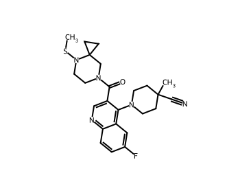 CSN1CCN(C(=O)c2cnc3ccc(F)cc3c2N2CCC(C)(C#N)CC2)CC12CC2